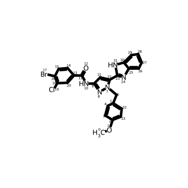 COc1ccc(Cn2nc(NC(=O)c3ccc(Br)c(Cl)c3)cc2-c2nc3ccccc3[nH]2)cc1